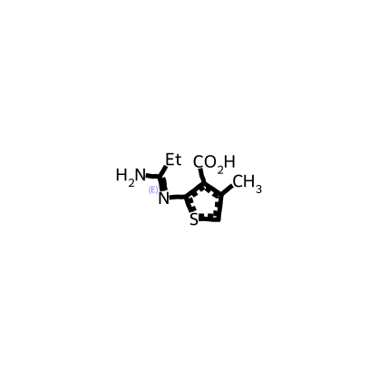 CC/C(N)=N\c1scc(C)c1C(=O)O